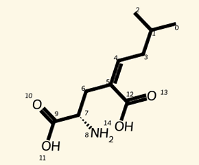 CC(C)CC=C(C[C@H](N)C(=O)O)C(=O)O